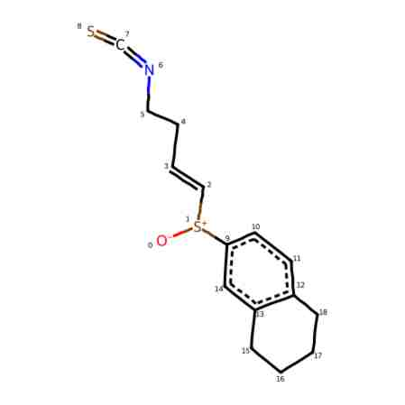 [O-][S+](C=CCCN=C=S)c1ccc2c(c1)CCCC2